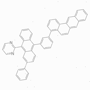 c1ccc(-c2ccc3c(-c4cccc(-c5cccc6c5ccc5cc7ccccc7cc56)c4)c4ccccc4c(-c4ncccn4)c3c2)cc1